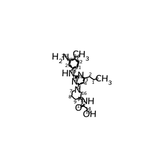 CCCc1cc(N2CCC[C@@H](NC(=O)CO)C2)nc(Nc2ccc(C)c(N)c2)n1